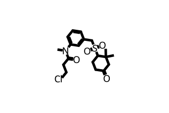 CN(C(=O)CCCl)c1cccc(CS(=O)(=O)C2CCC(=O)CC2(C)C)c1